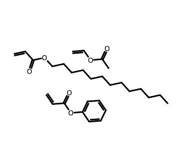 C=CC(=O)OCCCCCCCCCCCCC.C=CC(=O)Oc1ccccc1.C=COC(C)=O